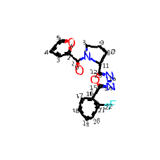 O=C(c1ccco1)N1CCCC1c1nnc(-c2ccccc2F)o1